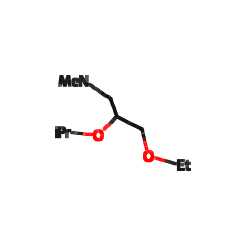 CCOCC(CNC)OC(C)C